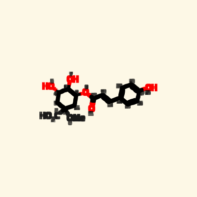 CO[C@@]1(C(=O)O)C[C@H](O)[C@@H](O)[C@H](OC(=O)/C=C/c2ccc(O)cc2)C1